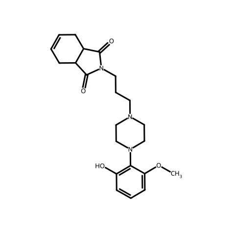 COc1cccc(O)c1N1CCN(CCCN2C(=O)C3CC=CCC3C2=O)CC1